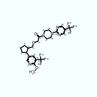 COc1ncc(C2CCCC2COCC(=O)N2CCN(c3ncc(C(F)(F)F)cn3)CC2)cc1C(F)(F)F